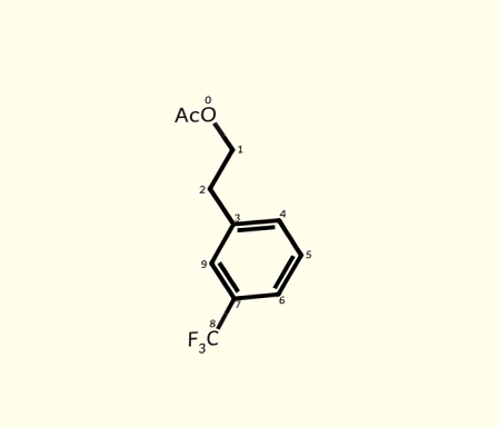 CC(=O)OCCc1cccc(C(F)(F)F)c1